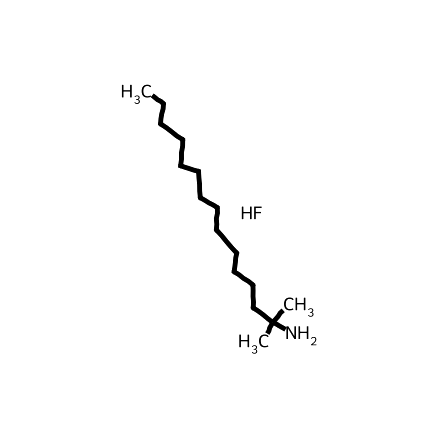 CCCCCCCCCCCCCC(C)(C)N.F